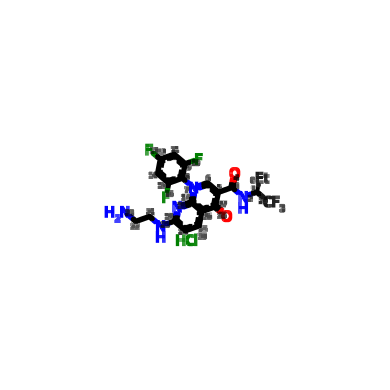 CC[C@H](NC(=O)c1cn(-c2c(F)cc(F)cc2F)c2nc(NCCN)ccc2c1=O)C(F)(F)F.Cl